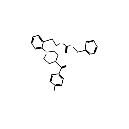 O=C(NCc1ccccc1)OCCc1ccccc1N1CCC(C(=O)c2ccc(F)cc2)CC1